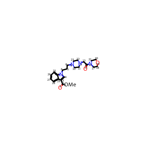 COC(=O)c1cn(CCCN2CCN(CC(=O)N3CCOCC3)CC2)c2ccccc12